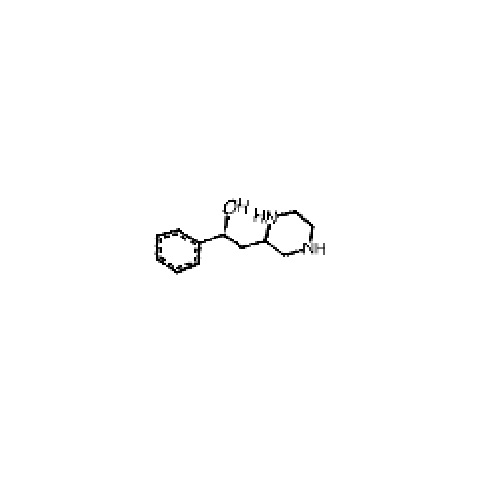 O[C@@H](CC1CNCCN1)c1ccccc1